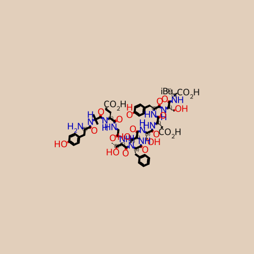 CC[C@H](C)[C@H](NC(=O)[C@H](CO)NC(=O)[C@H](Cc1ccc(O)cc1)NC(=O)[C@H](CC(=O)O)NC(=O)[C@H](CO)NC(=O)[C@@H](NC(=O)[C@H](Cc1ccccc1)NC(=O)[C@@H](NC(=O)CNC(=O)[C@H](CCC(=O)O)NC(=O)C(C)(C)NC(=O)[C@@H](N)Cc1ccc(O)cc1)[C@@H](C)O)[C@@H](C)O)C(=O)O